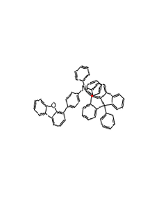 c1ccc(-c2ccccc2C2(c3ccccc3)c3ccccc3-c3ccc(N(c4ccccc4)c4ccc(-c5cccc6c5oc5ccccc56)cc4)cc32)cc1